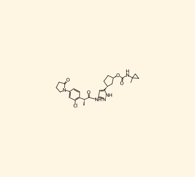 C[C@H](C(=O)Nc1cc([C@H]2CC[C@@H](OC(=O)NC3(C)CC3)C2)[nH]n1)c1ccc(N2CCCC2=O)cc1Cl